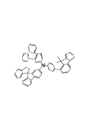 CC1(C)c2ccccc2-c2cccc(-c3ccc(N(c4ccc(-c5ccccc5)c(-c5ccccc5)c4)c4ccc5c(c4)C4(CCc6ccccc64)c4ccccc4-5)cc3)c21